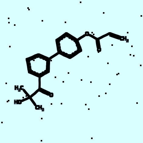 C=CC(=O)Oc1ccc(-c2cccc(C(=O)C(C)(C)O)c2)cc1